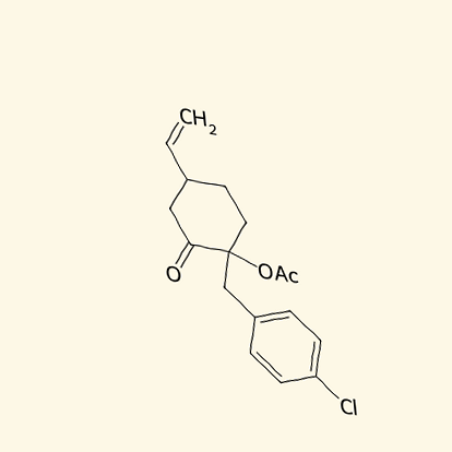 C=CC1CCC(Cc2ccc(Cl)cc2)(OC(C)=O)C(=O)C1